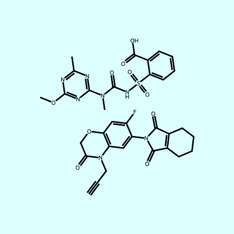 C#CCN1C(=O)COc2cc(F)c(N3C(=O)C4=C(CCCC4)C3=O)cc21.COc1nc(C)nc(N(C)C(=O)NS(=O)(=O)c2ccccc2C(=O)O)n1